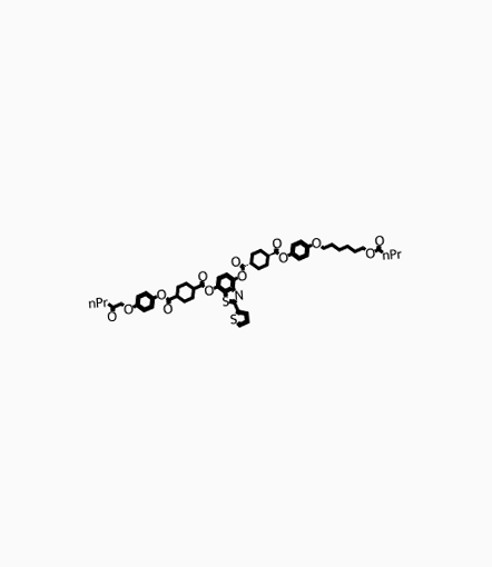 CCCC(=O)COc1ccc(OC(=O)C2CCC(C(=O)Oc3ccc(OC(=O)[C@H]4CC[C@H](C(=O)Oc5ccc(OCCCCCCOC(=O)CCC)cc5)CC4)c4nc(-c5cccs5)sc34)CC2)cc1